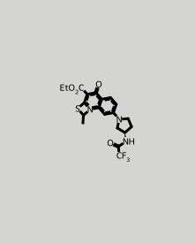 CCOC(=O)c1c2n(c3cc(N4CC[C@H](NC(=O)C(F)(F)F)C4)ccc3c1=O)C(C)S2